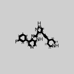 Fc1cccc(-c2cncc3[nH]c(-c4n[nH]cc4C#CC4CCNCC4)nc23)c1